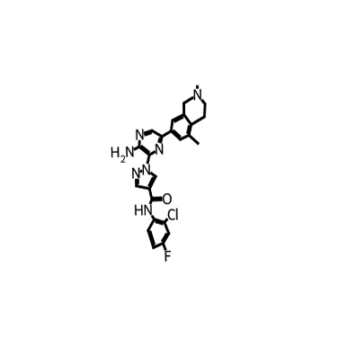 Cc1cc(-c2cnc(N)c(-n3cc(C(=O)Nc4ccc(F)cc4Cl)cn3)n2)cc2c1CCN(C)C2